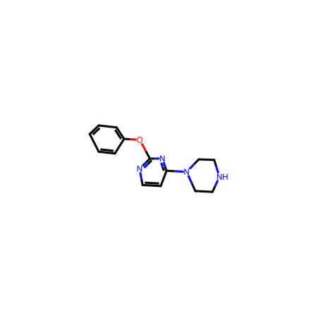 c1ccc(Oc2nccc(N3CCNCC3)n2)cc1